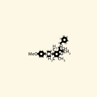 COc1ccc(N2CCN(c3c(C)c(C)c4c(c3C)C(COCc3ccccc3)C(C)(C)O4)CC2)cc1